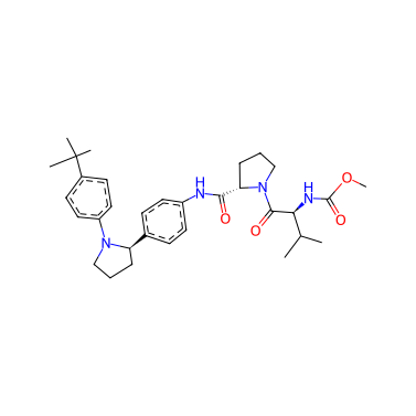 COC(=O)N[C@H](C(=O)N1CCC[C@H]1C(=O)Nc1ccc([C@H]2CCCN2c2ccc(C(C)(C)C)cc2)cc1)C(C)C